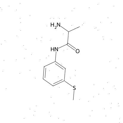 CSc1cccc(NC(=O)C(C)N)c1